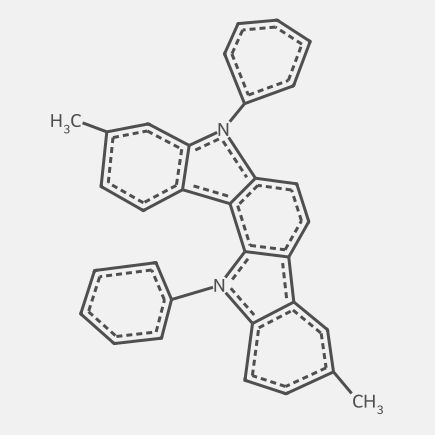 Cc1ccc2c(c1)c1ccc3c(c4ccc(C)cc4n3-c3ccccc3)c1n2-c1ccccc1